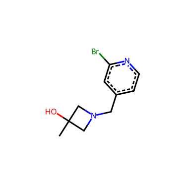 CC1(O)CN(Cc2ccnc(Br)c2)C1